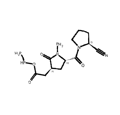 N#C[C@@H]1CCCN1C(=O)[C@@H]1C[C@@H](CC(=O)OPP)C(=O)N1P